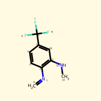 C=Nc1ccc(C(F)(F)F)cc1NC